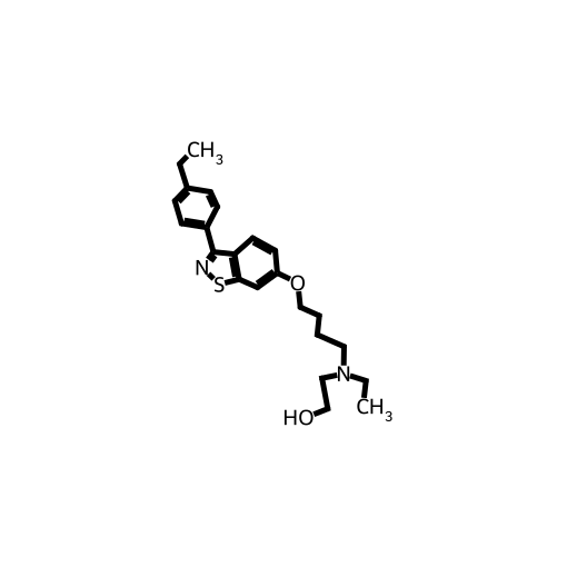 CCc1ccc(-c2nsc3cc(OCCCCN(CC)CCO)ccc23)cc1